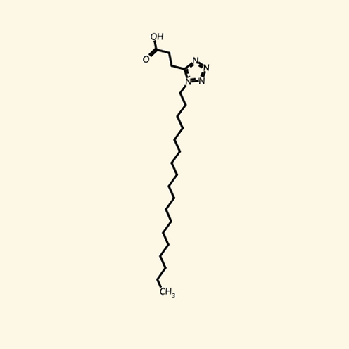 CCCCCCCCCCCCCCCCCCn1nnnc1CCC(=O)O